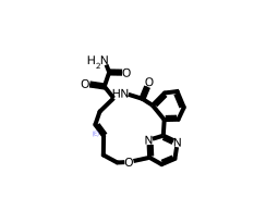 NC(=O)C(=O)C1C/C=C/CCOc2ccnc(n2)-c2ccccc2C(=O)N1